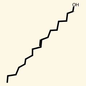 CCCCCCCCC=CCCCCCC[CH]O